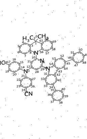 CC1(C)c2ccccc2N(c2cc(N(c3ccc(C#N)cc3)c3ccc(C#N)cc3)cc(-n3c4ccc(-c5ccccc5)cc4c4cc(-c5ccccc5)ccc43)n2)c2ccccc21